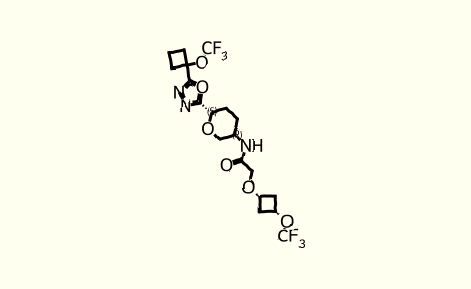 O=C(CO[C@H]1C[C@@H](OC(F)(F)F)C1)N[C@@H]1CC[C@@H](c2nnc(C3(OC(F)(F)F)CCC3)o2)OC1